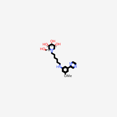 COc1cc(NCCCCCCN2C[C@H](O)[C@@H](O)[C@H](O)[C@H]2CO)cc(-c2cnccn2)c1